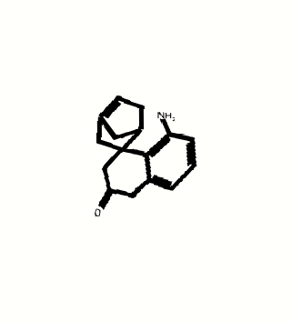 Nc1cccc2c1C1(CC(=O)C2)CC2=CCC1C2